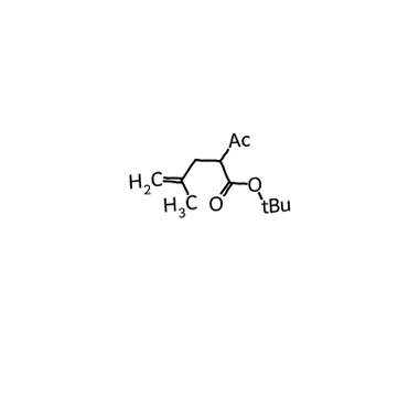 C=C(C)CC(C(C)=O)C(=O)OC(C)(C)C